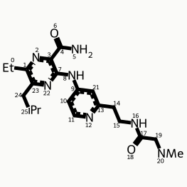 CCc1nc(C(N)=O)c(Nc2ccnc(CCNC(=O)CNC)c2)nc1CC(C)C